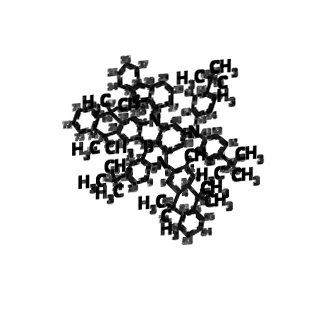 Cc1cc2c(cc1N1c3ccc(C(C)(C)C)cc3B3c4cc5c(cc4N(c4cccc6c4sc4ccccc46)c4cc(N(c6ccc(C(C)(C)C)cc6)c6ccc(C(C)(C)C)cc6)cc1c43)C(C)(C)c1ccccc1C5(C)C)C(C)(C)c1ccccc1C2(C)C